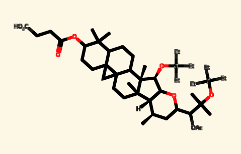 CC[Si](CC)(CC)O[C@H]1C2OC(C(OC(C)=O)C(C)(C)O[Si](CC)(CC)CC)C[C@@H](C)[C@@H]2C2(C)CCC34CC35CCC(OC(=O)CCC(=O)O)C(C)(C)C5CCC4[C@]12C